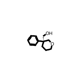 OC[C@@]1(c2ccccc2)CCCOC1